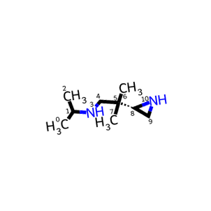 CC(C)NCC(C)(C)[C@H]1CN1